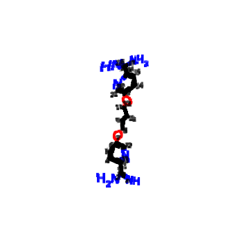 N=C(N)c1ccc(OCCCCOc2ccc(C(=N)N)nc2)cn1